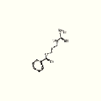 CNC(=N)NCCCOC(=O)c1ccccc1